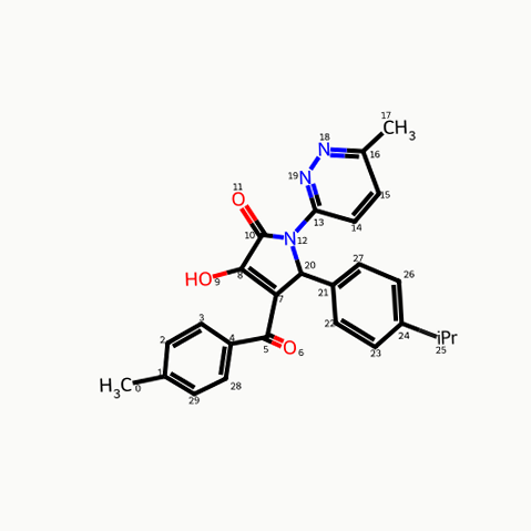 Cc1ccc(C(=O)C2=C(O)C(=O)N(c3ccc(C)nn3)C2c2ccc(C(C)C)cc2)cc1